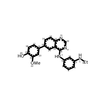 CCNc1cccc(Nc2ncnc3ccc(-c4ccc(O)c(OC)c4)cc23)c1